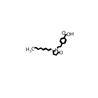 CCCCC=CC=C[C@H]1CCC(=O)N1CCc1ccc(C(=O)O)cc1